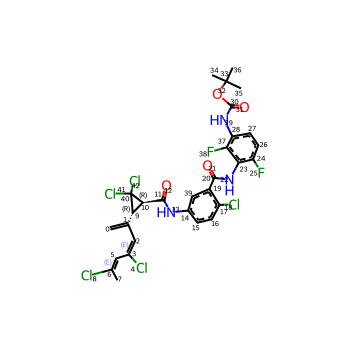 C=C(/C=C(Cl)\C=C(/C)Cl)[C@H]1[C@H](C(=O)Nc2ccc(Cl)c(C(=O)Nc3c(F)ccc(NC(=O)OC(C)(C)C)c3F)c2)C1(Cl)Cl